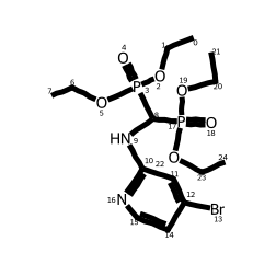 CCOP(=O)(OCC)C(Nc1cc(Br)ccn1)P(=O)(OCC)OCC